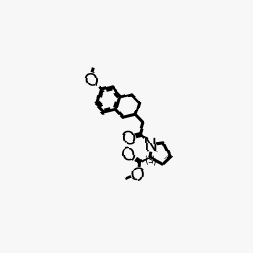 COC(=O)[C@@H]1CCCN1C(=O)CC1CCc2cc(OC)ccc2C1